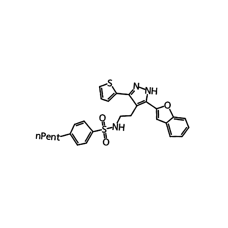 CCCCCc1ccc(S(=O)(=O)NCCc2c(-c3cccs3)n[nH]c2-c2cc3ccccc3o2)cc1